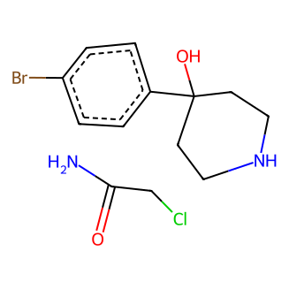 NC(=O)CCl.OC1(c2ccc(Br)cc2)CCNCC1